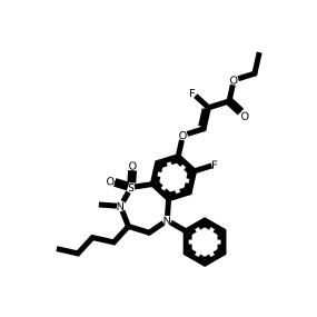 CCCCC1CN(c2ccccc2)c2cc(F)c(O/C=C(\F)C(=O)OCC)cc2S(=O)(=O)N1C